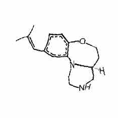 CC(C)=Cc1ccc2c(c1)N1CCNC[C@@H]1CCO2